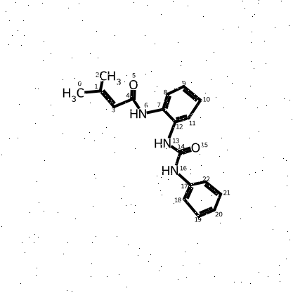 CC(C)=CC(=O)Nc1ccccc1NC(=O)Nc1ccccc1